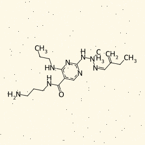 C=C(/C=N\N(C)Nc1ncc(C(=O)NCCCN)c(NCCC)n1)CC